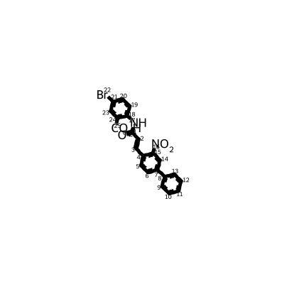 O=C(C=Cc1ccc(-c2ccccc2)cc1[N+](=O)[O-])Nc1ccc(Br)cc1C(=O)O